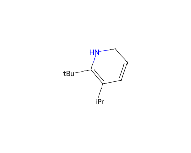 CC(C)C1=C(C(C)(C)C)NCC=C1